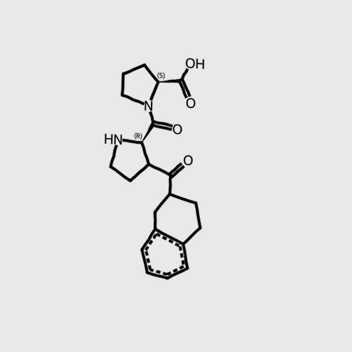 O=C(C1CCc2ccccc2C1)C1CCN[C@H]1C(=O)N1CCC[C@H]1C(=O)O